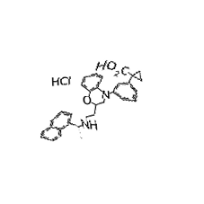 C[C@@H](NCCC1CN(c2cccc(C3(C(=O)O)CC3)c2)c2ccccc2O1)c1cccc2ccccc12.Cl